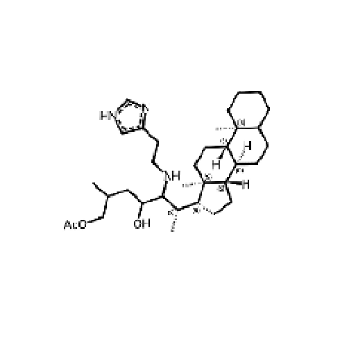 CC(=O)OCC(C)CC(O)C(NCCc1c[nH]cn1)[C@@H](C)[C@H]1CC[C@H]2[C@@H]3CCC4CCCC[C@]4(C)[C@H]3CC[C@]12C